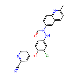 Cc1ccc2cc(N(C=O)Nc3ccc(Oc4ccnc(C#N)c4)c(Cl)c3)ccc2n1